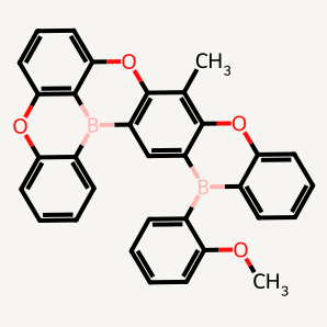 COc1ccccc1B1c2ccccc2Oc2c1cc1c(c2C)Oc2cccc3c2B1c1ccccc1O3